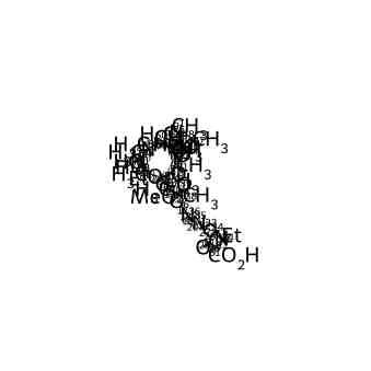 CC[C@H]1OC(=O)[C@H](C)[C@@H](OC2C[C@@](C)(OC)[C@@H](OCCN3CCN(c4ccc5c(c4)c(=O)c(C(=O)O)cn5CC)CC3)[C@H](C)O2)[C@H](C)[C@@H](O[C@@H]2O[C@H](C)C[C@H](N(C)C)[C@H]2O)[C@](C)(O)C[C@@H](C)CN(C)[C@H](C)[C@@H](O)[C@]1(C)O